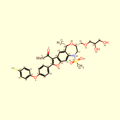 CNC(=O)c1c(-c2ccc(Oc3ccc(F)cc3)cc2)oc2cc3c(cc12)[C@H](C)O[C@H](COC[C@H](O)CO)CN3S(C)(=O)=O